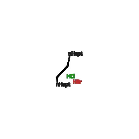 Br.CCCCCCCCCCCCCCCC.Cl